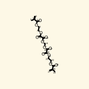 C=C(C)C(=O)OCCOC(=O)C(=O)OCOC(=O)C(=O)OCCOC(=O)C(=C)C